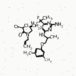 C=CCN(CC=C)C(=O)C(Cl)Cl.Cc1cc(C)cc(OCC(C)Nc2nc(N)nc(C(C)(C)F)n2)c1